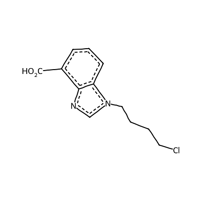 O=C(O)c1cccc2c1ncn2CCCCCl